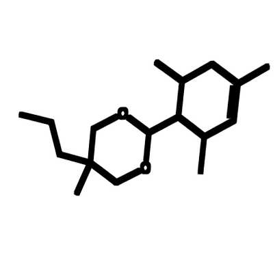 CCCC1(C)COC(C2C(C)C=C(C)CC2C)OC1